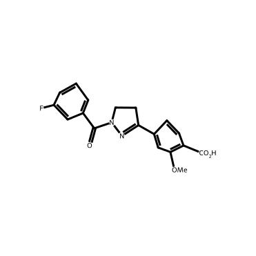 COc1cc(C2=NN(C(=O)c3cccc(F)c3)CC2)ccc1C(=O)O